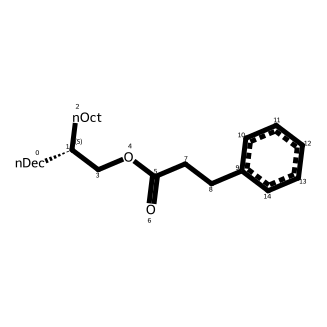 CCCCCCCCCC[C@H](CCCCCCCC)COC(=O)CCc1ccccc1